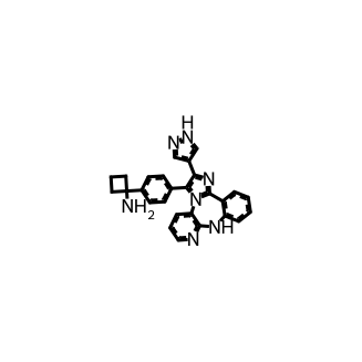 NC1(c2ccc(-c3c(-c4cn[nH]c4)nc4n3-c3cccnc3Nc3ccccc3-4)cc2)CCC1